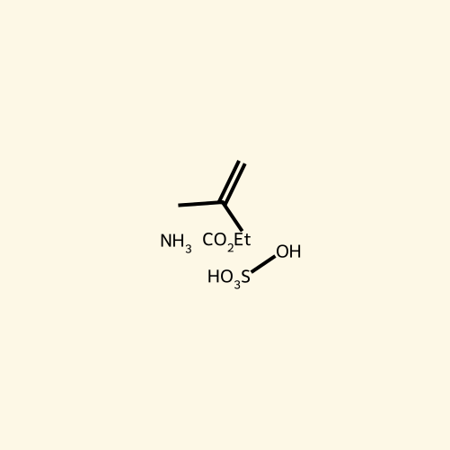 C=C(C)C(=O)OCC.N.O=S(=O)(O)O